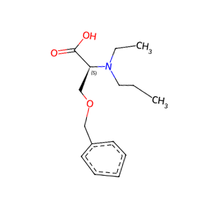 CCCN(CC)[C@@H](COCc1ccccc1)C(=O)O